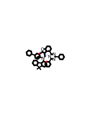 C=C/C=c1/oc2cccc(-c3nc(-c4ccccc4)nc(-c4ccccc4)n3)c2/c1=C/N(c1ccc(-c2ccccc2)cc1)c1cccc2c1-c1ccccc1C2(C)C